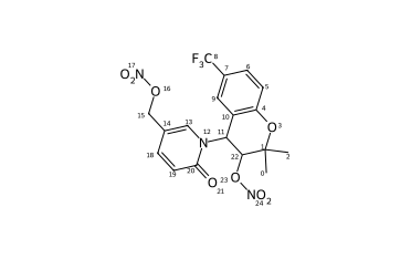 CC1(C)Oc2ccc(C(F)(F)F)cc2C(n2cc(CO[N+](=O)[O-])ccc2=O)C1O[N+](=O)[O-]